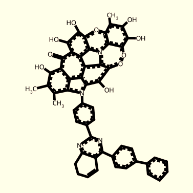 Cc1c(O)c2c(=O)c3c(O)c(O)c4oc5c(C)c(O)c(O)c6ooc7c(O)c8c(c2c(c1C)n8-c1ccc(-c2nc8c(c(-c9ccc(-c%10ccccc%10)cc9)n2)C=CCC8)cc1)c1c3c4n(c56)c71